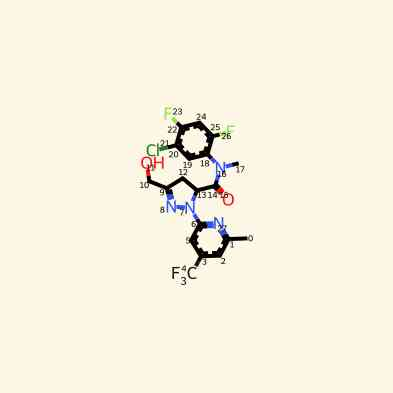 Cc1cc(C(F)(F)F)cc(N2N=C(CO)CC2C(=O)N(C)c2cc(Cl)c(F)cc2F)n1